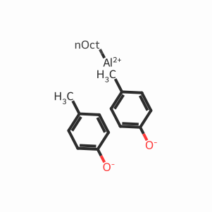 CCCCCCC[CH2][Al+2].Cc1ccc([O-])cc1.Cc1ccc([O-])cc1